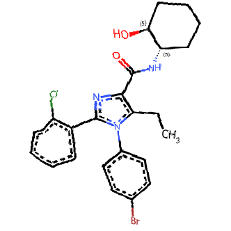 CCc1c(C(=O)N[C@H]2CCCC[C@@H]2O)nc(-c2ccccc2Cl)n1-c1ccc(Br)cc1